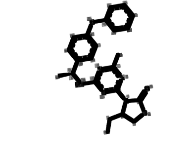 CCC1COC(=O)N1c1nc(C)nc(N[C@@H](C)c2ccc(Oc3ccccc3)cc2)n1